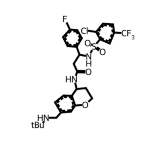 CC(C)(C)NCc1ccc2c(c1)OCCC2NC(=O)CC(NS(=O)(=O)c1cc(C(F)(F)F)ccc1Cl)c1ccc(F)cc1